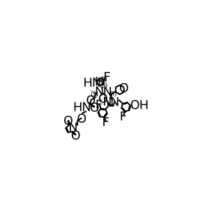 C[C@@H](COC(=O)NCCOCCN1C(=O)C=CC1=O)NC(=O)N(C[C@@H]1CNC[C@@H]1F)[C@@H](c1nc(-c2cc(F)ccc2F)cn1Cc1cc(O)cc(F)c1)C1CCOCC1